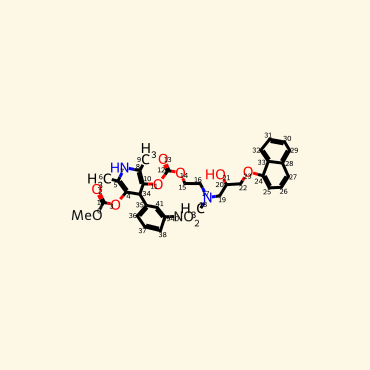 COC(=O)OC1=C(C)NC(C)=C(OC(=O)OCCN(C)CC(O)COc2cccc3ccccc23)C1c1cccc([N+](=O)[O-])c1